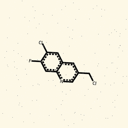 Fc1cc2ncc(CCl)cc2cc1Cl